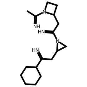 CC(=N)N1CCC1CC(=N)N1CC1CC(=N)C1CCCCC1